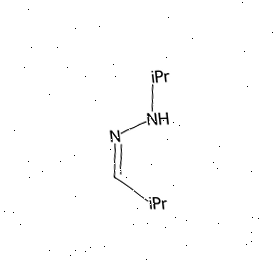 CC(C)/C=N\NC(C)C